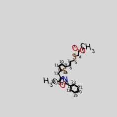 COC(=O)CSC/C=C/c1ccc(Cc2nc(-c3ccccc3)oc2C)s1